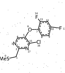 CSCc1ncc(Oc2ccc(F)cc2F)c(Cl)n1